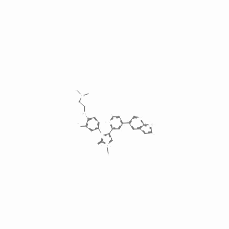 CN(C)CCNc1ccc(-n2c(-c3cc(-c4cnc5[nH]ccc5c4)ccn3)cn(C)c2=O)cc1C(F)(F)F